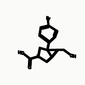 O=C(O)N1CC2C(CO)C2(c2ccc(Br)cc2)C1